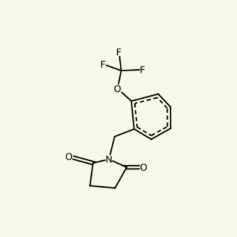 O=C1CCC(=O)N1Cc1ccccc1OC(F)(F)F